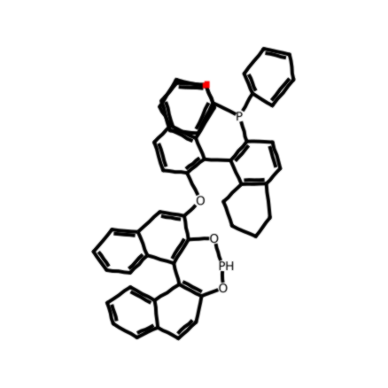 c1ccc(P(c2ccccc2)c2ccc3c(c2-c2c(Oc4cc5ccccc5c5c4o[pH]oc4ccc6ccccc6c45)ccc4c2CCCC4)CCCC3)cc1